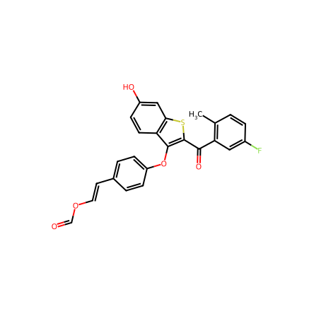 Cc1ccc(F)cc1C(=O)c1sc2cc(O)ccc2c1Oc1ccc(/C=C/OC=O)cc1